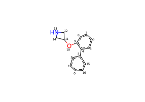 c1ccc(-c2ccccc2OC2CNC2)cc1